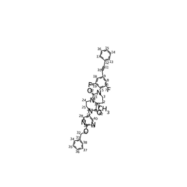 C[C@@]12CCN(c3c(F)cc(C#Cc4ccccc4)cc3F)C(=O)N1CCN(c1cnc(OCc3ccccc3)nc1)C2=O